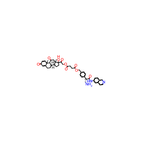 C[C@]12C=CC(=O)C=C1CC[C@@H]1C2C(=O)C[C@@]2(C)[C@H]1CC[C@]2(O)C(=O)COC(=O)CCC(=O)OCc1ccc([C@@H](CN)C(=O)Nc2ccc3cnccc3c2)cc1